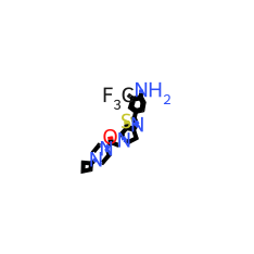 Nc1ccc(-c2nc3c(s2)CN(CC(=O)N2CCN(C4CCC4)CC2)CC3)cc1C(F)(F)F